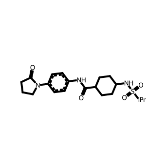 CC(C)S(=O)(=O)NC1CCC(C(=O)Nc2ccc(N3CCCC3=O)cc2)CC1